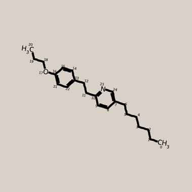 CCCCCCCc1ccc(CCc2ccc(OCCC)cc2)nc1